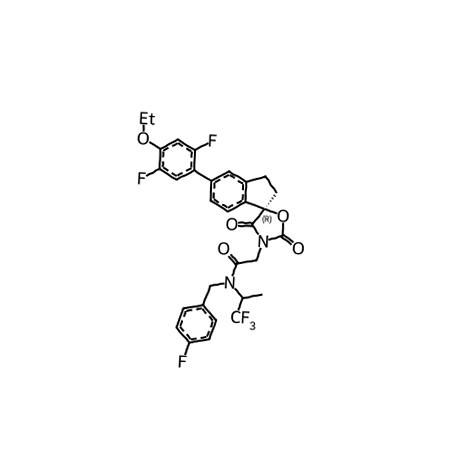 CCOc1cc(F)c(-c2ccc3c(c2)CC[C@@]32OC(=O)N(CC(=O)N(Cc3ccc(F)cc3)C(C)C(F)(F)F)C2=O)cc1F